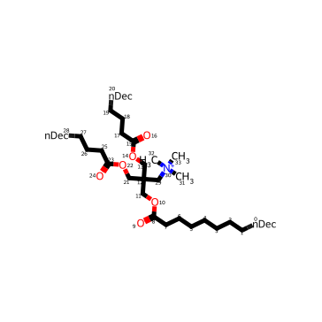 CCCCCCCCCCCCCCCCCC(=O)OCC(COC(=O)CCCCCCCCCCCCC)(COC(=O)CCCCCCCCCCCCC)C[N+](C)(C)C